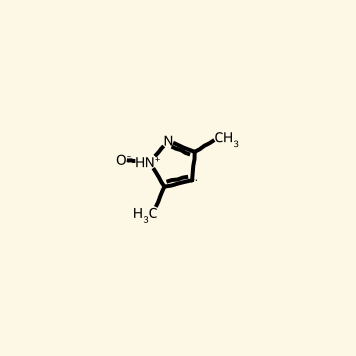 CC1=[C]C(C)=N[NH+]1[O-]